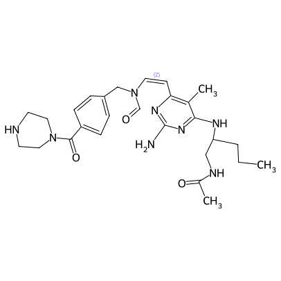 CCCC(CNC(C)=O)Nc1nc(N)nc(/C=C\N(C=O)Cc2ccc(C(=O)N3CCNCC3)cc2)c1C